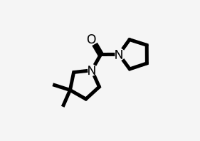 CC1(C)CCN(C(=O)N2CCCC2)C1